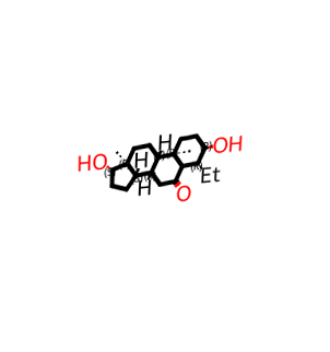 CC[C@@H]1C2C(=O)C[C@H]3[C@@H]4CC[C@H](O)[C@@]4(C)CC[C@@H]3[C@@]2(C)CC[C@H]1O